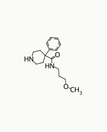 COCCCNC(=O)C1(c2ccccc2)CCNCC1